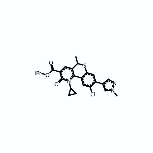 CC(C)OC(=O)c1cc2c(n(C3CC3)c1=O)-c1cc(Cl)c(-c3cnn(C)c3)cc1SC2C